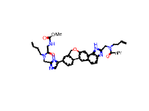 C=CCCN(Cc1ncc(-c2ccc3c(c2)COc2cc4c(ccc5nc(CN(CCC=C)C(=O)CCC)[nH]c54)cc2-3)[nH]1)C(=O)CNC(=O)OC